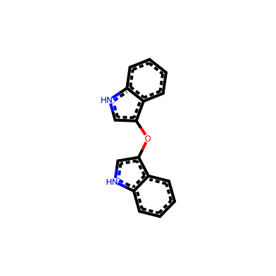 c1ccc2c(Oc3c[nH]c4ccccc34)c[nH]c2c1